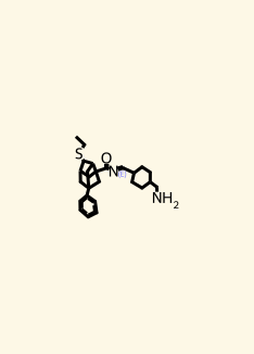 CCSC1C2CC3(c4ccccc4)CC1C(C(=O)/N=C/C1CCC(CN)CC1)(C2)C3